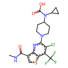 CNC(=O)c1csc2c(C(F)(F)F)c(Cl)c(N3CCC(N(C(=O)O)C4CC4)CC3)nc12